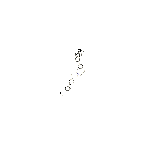 Cc1nc2ccc(-c3ccc4c(c3)C/C=C(/CC(=O)N3CCN(c5ccc(C(F)(F)F)cn5)CC3)CCO4)cc2[nH]1